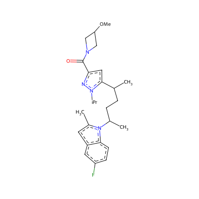 COC1CN(C(=O)c2cc(C(C)CCC(C)n3c(C)cc4cc(F)ccc43)n(C(C)C)n2)C1